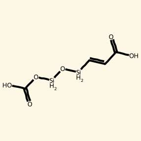 O=C(O)C=C[SiH2]O[SiH2]OC(=O)O